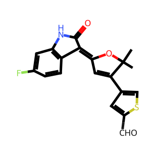 CC1(C)OC(=C2C(=O)Nc3cc(F)ccc32)C=C1c1csc(C=O)c1